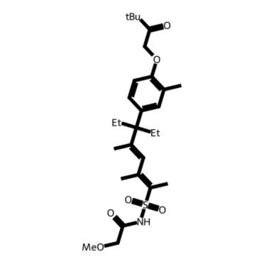 CCC(CC)(/C(C)=C/C(C)=C(\C)S(=O)(=O)NC(=O)COC)c1ccc(OCC(=O)C(C)(C)C)c(C)c1